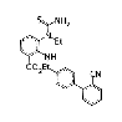 CCOC(=O)c1cccc(N(CC)C(N)=S)c1NCc1ccc(-c2ccccc2C#N)cc1